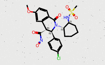 COc1ccc2c(c1)[C@@H](C(=O)N=O)[C@H](c1ccc(Cl)cc1)N([C@H]1CCCC[C@@H]1NS(C)(=O)=O)C2=O